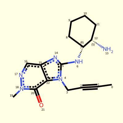 CC#CCn1c(N[C@@H]2CCCC[C@@H]2N)nc2cnn(C)c(=O)c21